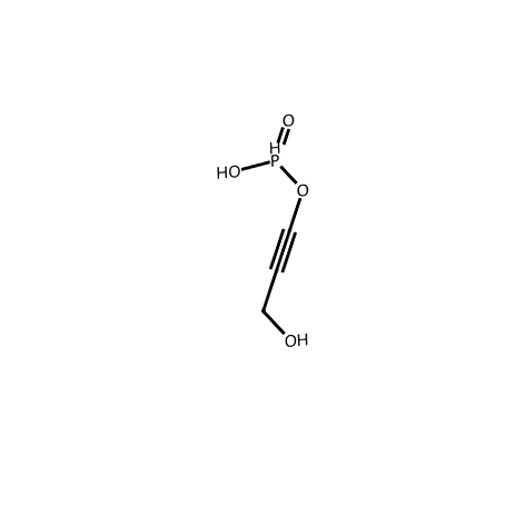 O=[PH](O)OC#CCO